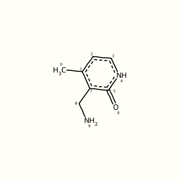 Cc1cc[nH]c(=O)c1CN